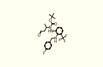 CC(CC=O)N(Nc1cccc(C(F)(F)F)c1NCc1ccc(F)cc1)C(=O)OC(C)(C)C